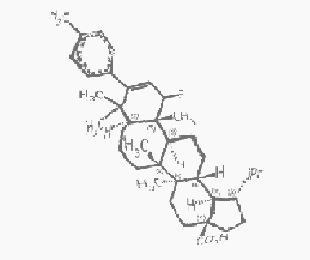 Cc1ccc(C2=CC(F)[C@]3(C)[C@H]4CC[C@@H]5[C@H]6[C@H](C(C)C)CC[C@]6(C(=O)O)CC[C@@]5(C)[C@]4(C)CC[C@H]3C2(C)C)cc1